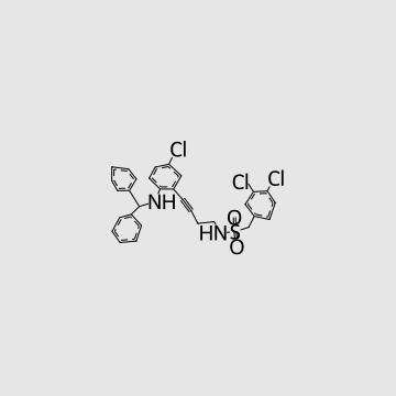 O=S(=O)(Cc1ccc(Cl)c(Cl)c1)NCCC#Cc1cc(Cl)ccc1NC(c1ccccc1)c1ccccc1